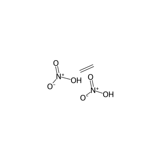 C=C.O=[N+]([O-])O.O=[N+]([O-])O